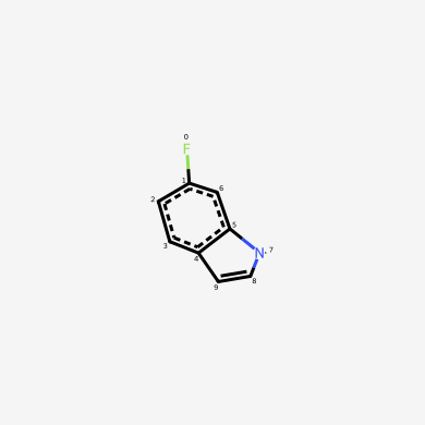 Fc1ccc2c(c1)[N]C=C2